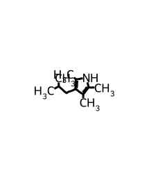 Cc1[nH]c(C)c(CC(C)C)c1C